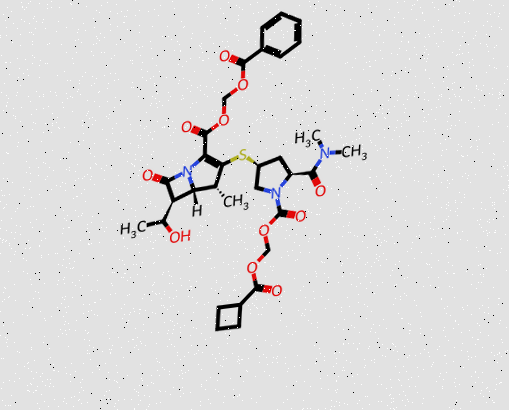 CC(O)[C@H]1C(=O)N2C(C(=O)OCOC(=O)c3ccccc3)=C(S[C@H]3C[C@@H](C(=O)N(C)C)N(C(=O)OCOC(=O)C4CCC4)C3)[C@H](C)[C@H]12